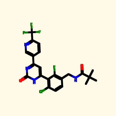 CC(C)(C)C(=O)NCc1ccc(Cl)c(-c2cc(-c3ccc(C(F)(F)F)nc3)nc(=O)[nH]2)c1F